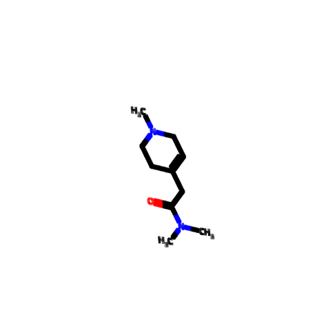 CN1CC=C(CC(=O)N(C)C)CC1